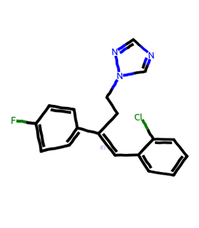 Fc1ccc(/C(=C/c2ccccc2Cl)CCn2cncn2)cc1